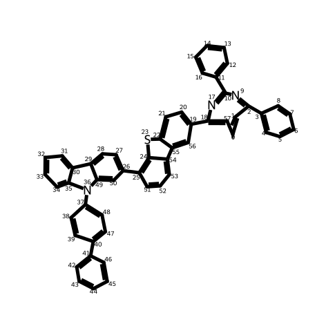 C1=C/C(c2ccccc2)=N\C(c2ccccc2)=N/C(c2ccc3sc4c(-c5ccc6c7ccccc7n(-c7ccc(-c8ccccc8)cc7)c6c5)cccc4c3c2)=C/1